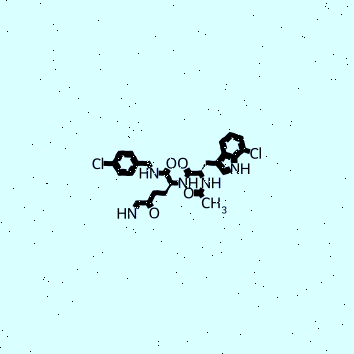 CC(=O)N[C@@H](Cc1c[nH]c2c(Cl)cccc12)C(=O)N[C@@H](CCC(=O)C=N)C(=O)NCc1ccc(Cl)cc1